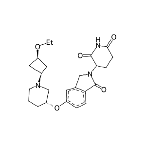 CCO[C@H]1C[C@@H](N2CCC[C@@H](Oc3ccc4c(c3)CN(C3CCC(=O)NC3=O)C4=O)C2)C1